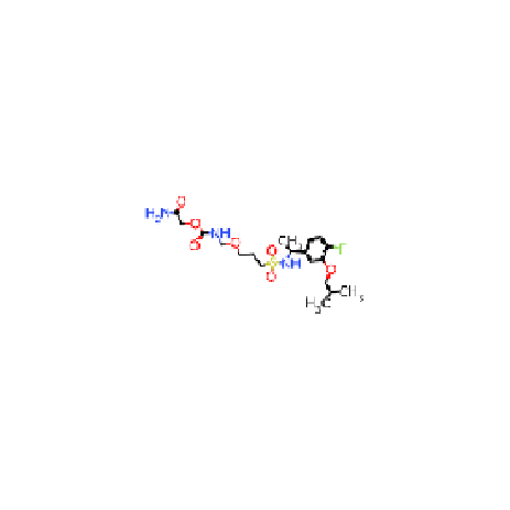 CC(C)COc1cc(C(C)NS(=O)(=O)CCCOCNC(=O)OCC(N)=O)ccc1F